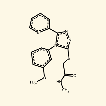 CNC(=O)CSc1nnc(-c2ccccn2)n1-c1cccc(OC)c1